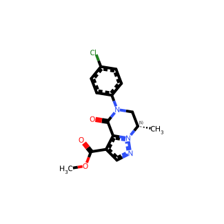 COC(=O)c1cnn2c1C(=O)N(c1ccc(Cl)cc1)C[C@@H]2C